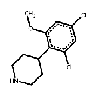 COc1cc(Cl)cc(Cl)c1C1CCNCC1